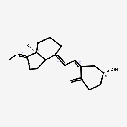 C=C1CC[C@@H](O)C/C1=C/C=C1\CCC[C@]2(C)/C(=N/C)CCC12